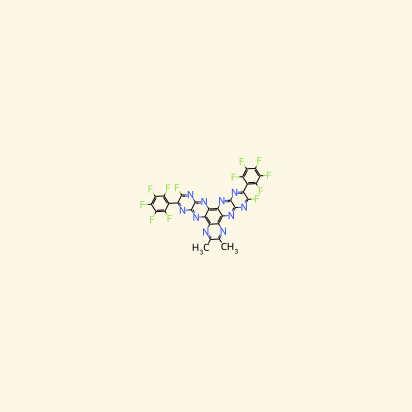 Cc1nc2c(nc1C)c1nc3nc(F)c(-c4c(F)c(F)c(F)c(F)c4F)nc3nc1c1nc3nc(F)c(-c4c(F)c(F)c(F)c(F)c4F)nc3nc21